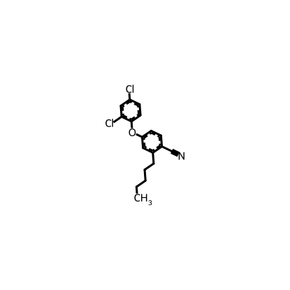 CCCCCc1cc(Oc2ccc(Cl)cc2Cl)ccc1C#N